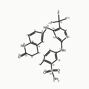 Cc1ccc(Nc2ncc(C(F)(F)F)c(Nc3ccc4c(c3)CCC(=O)N4)n2)cc1S(N)(=O)=O